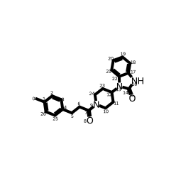 Cc1ccc(CCC(=O)N2CCC(n3c(=O)[nH]c4ccccc43)CC2)cc1